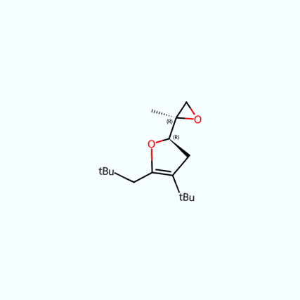 CC(C)(C)CC1=C(C(C)(C)C)C[C@H]([C@@]2(C)CO2)O1